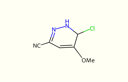 COC1=CC(C#N)=NNC1Cl